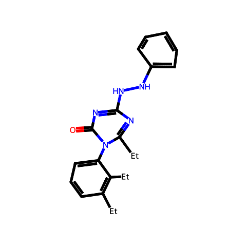 CCc1cccc(-n2c(CC)nc(NNc3ccccc3)nc2=O)c1CC